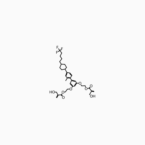 C=C(CO)C(=O)OCCOc1cc(OCCOC(=O)C(=C)CO)cc(-c2ccc(C3CCC(CCCCC(F)(F)F)CC3)cc2C)c1